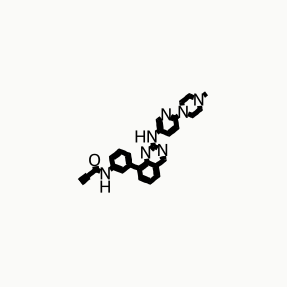 C#CC(=O)Nc1cccc(-c2cccc3cnc(Nc4ccc(N5CCN(C)CC5)nc4)nc23)c1